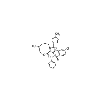 Cc1ccc(C(=O)N2CCCN(C)CCOC(=O)C2c2nc3cc(Cl)ccc3c(=O)n2Cc2ccccc2)cc1